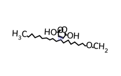 C=COCCCCCCCCCCCCCCCCCC.O=C(O)/C=C\C(=O)O